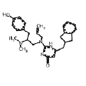 C=CCN(CC(Cc1ccc(O)cc1)N(C)C)c1nc(=O)cc(CC2Cc3ccccc3C2)[nH]1